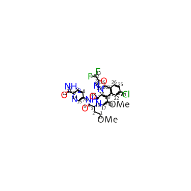 COCCC(C(=O)Nc1ccc(C(N)=O)nc1)n1cc(OC)c(-c2cc(Cl)ccc2-c2nnc(C(F)F)o2)cc1=O